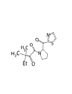 CCC(C)(C)C(=O)C(=O)N1CCCC1C(=O)c1nccs1